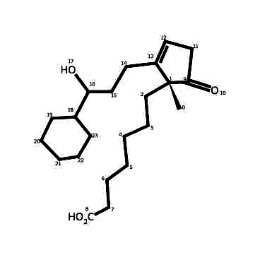 C[C@]1(CCCCCCC(=O)O)C(=O)CC=C1CCC(O)C1CCCCC1